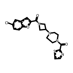 O=C(c1cc2cc(Cl)ccc2o1)N1CC(N2CCN(C(=O)c3nccs3)CC2)C1